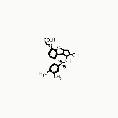 Cc1ccc(S(=O)(=O)NC2C(O)CC3Oc4c(OCC(=O)O)cccc4C32)cc1C